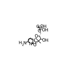 CC1(F)C(O)[C@@H](COP(=O)(O)O)O[C@H]1n1ccc(N)nc1=O